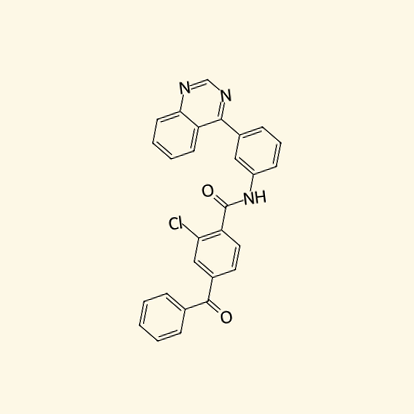 O=C(c1ccccc1)c1ccc(C(=O)Nc2cccc(-c3ncnc4ccccc34)c2)c(Cl)c1